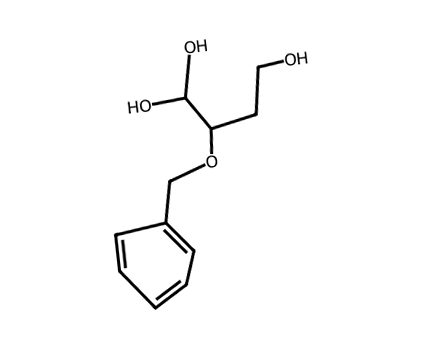 OCCC(OCc1ccccc1)C(O)O